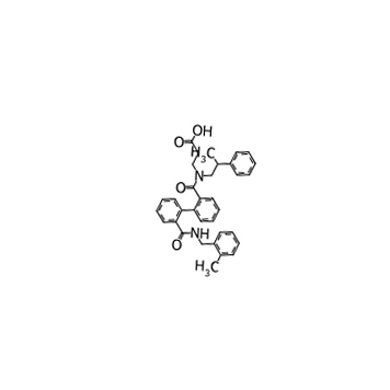 Cc1ccccc1CNC(=O)c1ccccc1-c1ccccc1C(=O)N(CCC(=O)O)CC(C)c1ccccc1